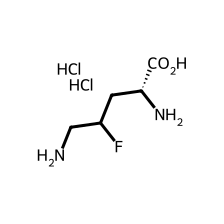 Cl.Cl.NCC(F)C[C@@H](N)C(=O)O